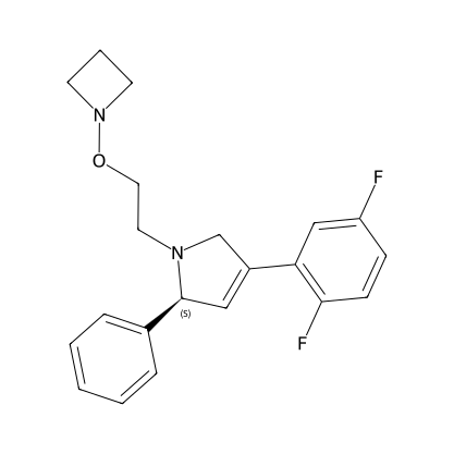 Fc1ccc(F)c(C2=C[C@@H](c3ccccc3)N(CCON3CCC3)C2)c1